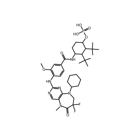 COc1cc(C(=O)NC2CCC(OP(=O)(O)O)C(C(C)(C)C)C2C(C)(C)C)ccc1Nc1ncc2c(n1)N(C1CCCCC1)CC(F)(F)C(=O)N2C